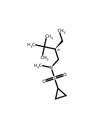 CC[C@@H](CN(C)S(=O)(=O)C1CC1)C(C)(C)C